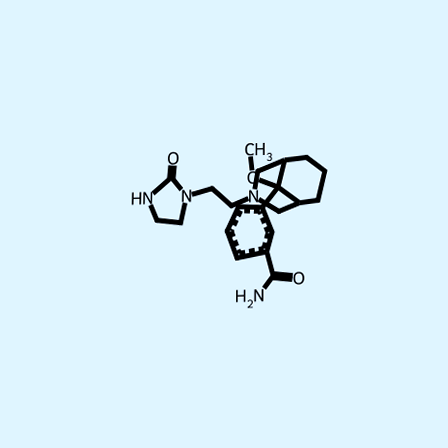 COC1(c2cccc(C(N)=O)c2)C2CCCC1CN(CCN1CCNC1=O)C2